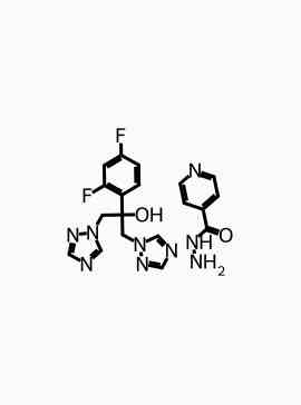 NNC(=O)c1ccncc1.OC(Cn1cncn1)(Cn1cncn1)c1ccc(F)cc1F